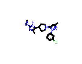 CNc1nc(C)c(C2CCN(c3cc(C)nn3-c3cccc(Cl)c3)CC2)[nH]1